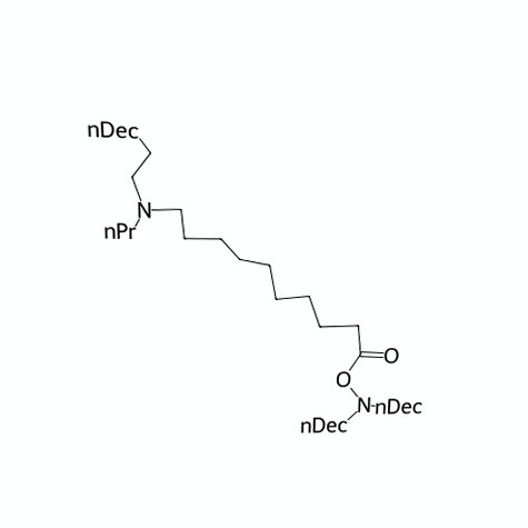 CCCCCCCCCCCCN(CCC)CCCCCCCCCC(=O)ON(CCCCCCCCCC)CCCCCCCCCC